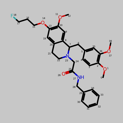 COc1ccc(CC2c3cc(OC)c(OCCCF)cc3CCN2CC(=O)NCc2ccccc2)cc1OC